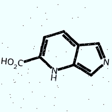 O=C(O)c1ccc2cncc-2[nH]1